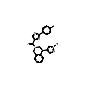 Cn1cc(C2CN(C(=O)c3coc(-c4ccc(F)cc4)n3)Cc3ccccc32)cn1